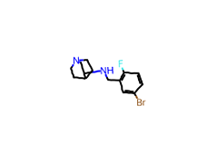 Fc1ccc(Br)cc1CNC1CN2CCC1CC2